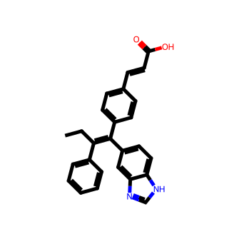 CCC(=C(c1ccc(C=CC(=O)O)cc1)c1ccc2[nH]cnc2c1)c1ccccc1